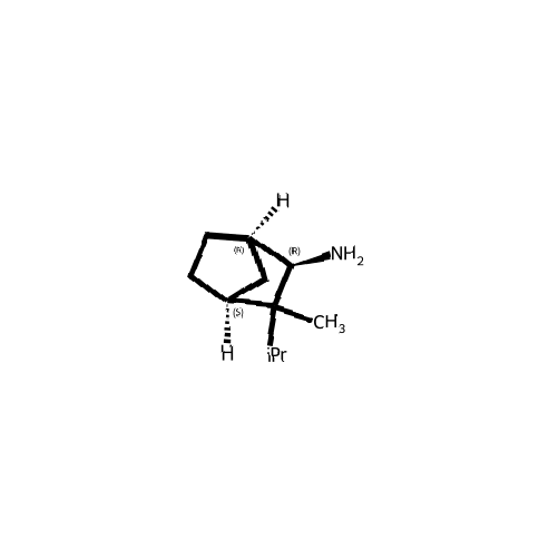 CC(C)C1(C)[C@H]2CC[C@H](C2)[C@H]1N